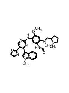 COc1cc(N(C)CC2CCCN2C)c(NC=O)cc1Nc1ncc(-c2ncco2)c(-c2cn(C)c3ccccc23)n1